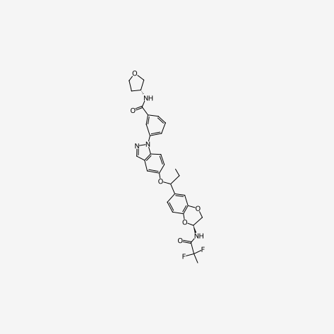 CCC(Oc1ccc2c(cnn2-c2cccc(C(=O)N[C@@H]3CCOC3)c2)c1)c1ccc2c(c1)OC[C@@H](NC(=O)C(C)(F)F)O2